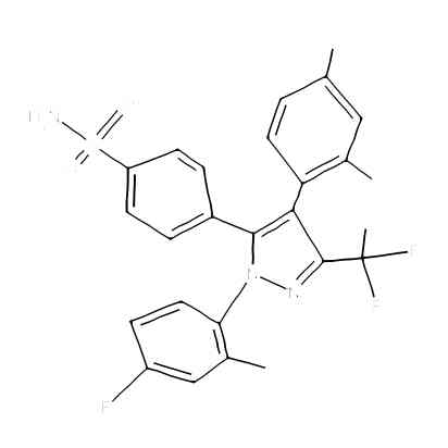 NS(=O)(=O)c1ccc(-c2c(-c3ccc(F)cc3F)c(C(F)(F)F)nn2-c2ccc(F)cc2F)cc1